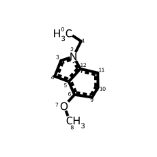 CCn1ccc2c(OC)c[c]cc21